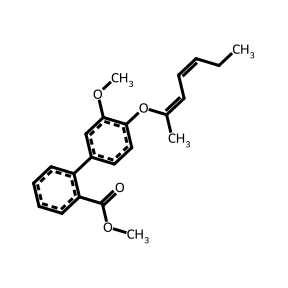 CC/C=C\C=C(\C)Oc1ccc(-c2ccccc2C(=O)OC)cc1OC